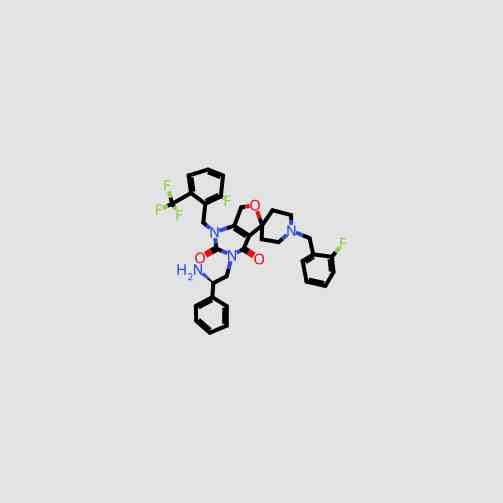 N[C@@H](Cn1c(=O)c2c(n(Cc3c(F)cccc3C(F)(F)F)c1=O)COC21CCN(Cc2ccccc2F)CC1)c1ccccc1